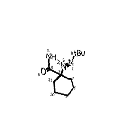 CC(C)(C)N=NC1(C(N)=O)CCCCC1